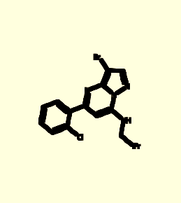 CC(C)CNc1cc(-c2ccccc2Cl)nc2c(Br)cnn12